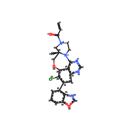 C=CC(=O)N1CCN2c3ncnc4cc(-c5cccc6ocnc56)c(Cl)c(c34)OC[C@@H]2C1